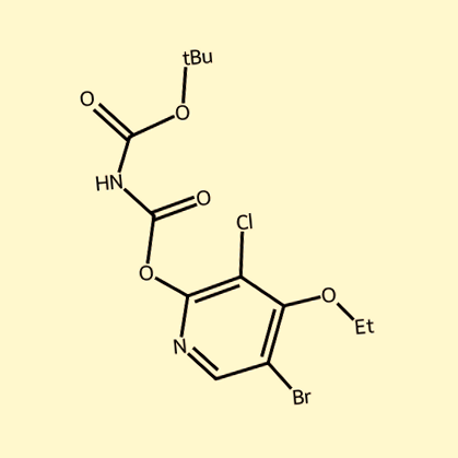 CCOc1c(Br)cnc(OC(=O)NC(=O)OC(C)(C)C)c1Cl